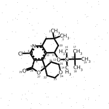 CC1(C)Cc2nc(Cl)c3c(c2C(O[Si](C)(C)C(C)(C)C)C1)C1(CCOCC1)OC3=O